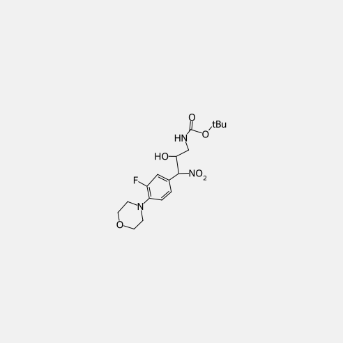 CC(C)(C)OC(=O)NCC(O)C(c1ccc(N2CCOCC2)c(F)c1)[N+](=O)[O-]